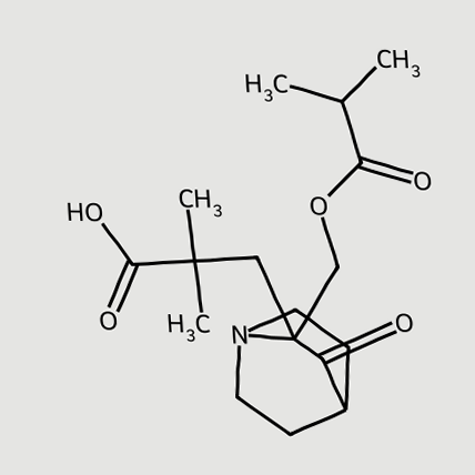 CC(C)C(=O)OCC1(CC(C)(C)C(=O)O)C(=O)C2CCN1CC2